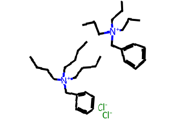 CCCC[N+](CCCC)(CCCC)Cc1ccccc1.CCC[N+](CCC)(CCC)Cc1ccccc1.[Cl-].[Cl-]